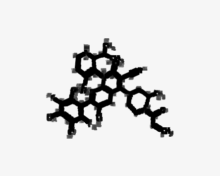 C=CC(=O)N1CCN(c2c(C#N)c(=O)n(C3=C(C)C=CNC3C(C)C)c3nc(-c4c(O)c(F)c(Cl)c(Cl)c4F)c(Cl)cc23)C[C@H]1C